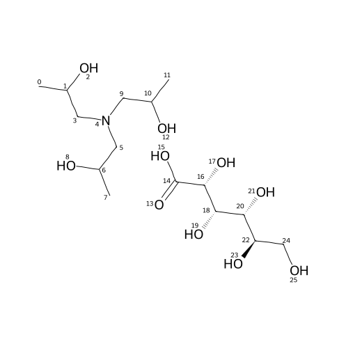 CC(O)CN(CC(C)O)CC(C)O.O=C(O)[C@H](O)[C@@H](O)[C@H](O)[C@H](O)CO